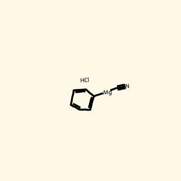 Cl.N#[C][Mg][c]1ccccc1